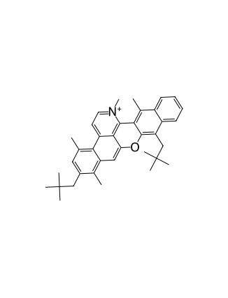 Cc1c2c(c(CC(C)(C)C)c3ccccc13)Oc1cc3c(C)c(CC(C)(C)C)cc(C)c3c3cc[n+](C)c-2c13